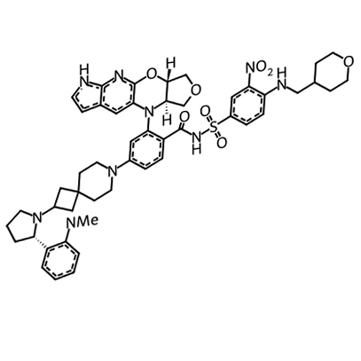 CNc1ccccc1[C@@H]1CCCN1C1CC2(CCN(c3ccc(C(=O)NS(=O)(=O)c4ccc(NCC5CCOCC5)c([N+](=O)[O-])c4)c(N4c5cc6cc[nH]c6nc5O[C@@H]5COC[C@H]54)c3)CC2)C1